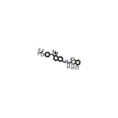 Cn1nc2c(ccc3cc(/C=N/NC(=S)Nc4c(Cl)cccc4Cl)ccc32)c1-c1ccc(OC(F)(F)F)cc1